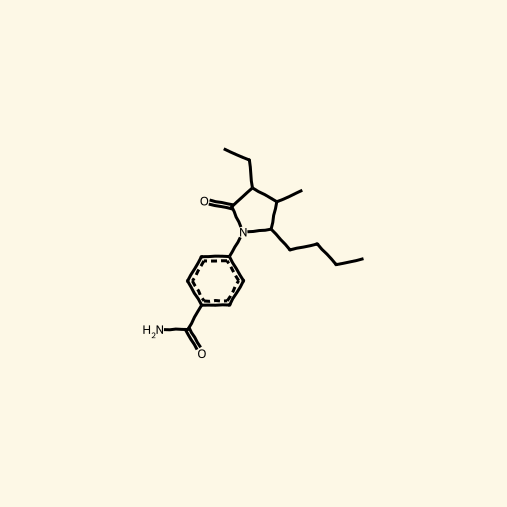 CCCCC1C(C)C(CC)C(=O)N1c1ccc(C(N)=O)cc1